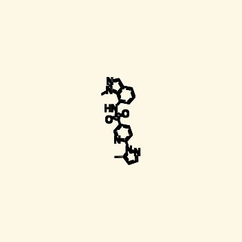 Cc1ccnn1-c1ccc(S(=O)(=O)Nc2cccc3cnn(C)c23)cn1